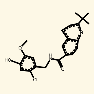 COc1cc(CNC(=O)c2ccc3nc(C(C)(C)C)ccc3c2)c(Cl)cc1O